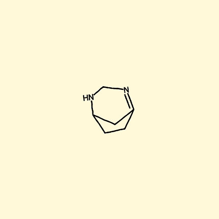 C1N=C2CCC(C2)N1